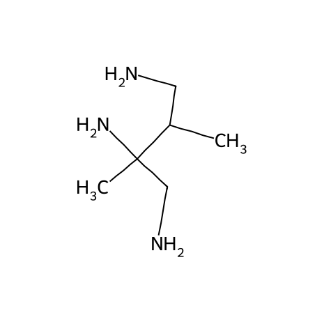 CC(CN)C(C)(N)CN